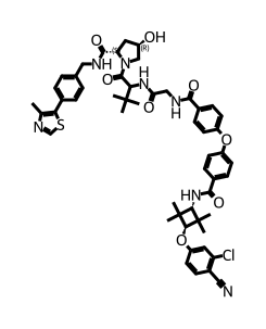 Cc1ncsc1-c1ccc(CNC(=O)[C@@H]2C[C@@H](O)CN2C(=O)C(NC(=O)CNC(=O)c2ccc(Oc3ccc(C(=O)N[C@H]4C(C)(C)[C@H](Oc5ccc(C#N)c(Cl)c5)C4(C)C)cc3)cc2)C(C)(C)C)cc1